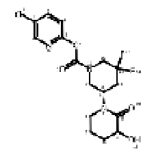 O=C(Oc1ccc(Cl)cn1)N1C[C@H](N2CCCC(O)C2=O)CC(F)(F)C1